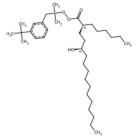 CCCCCCCCCCC[C@@H](O)CC[C@H](CCCCCC)C(=O)OO[Si](C)(C)Cc1cccc(C(C)(C)C)c1